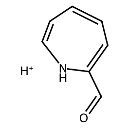 O=CC1=CC=CC=CN1.[H+]